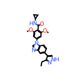 CCc1n[nH]cc1-c1ccc2c(c1)ncn2-c1cc(OC)c(C(=O)NC2CC2)c(OC)c1